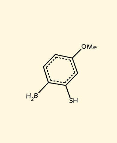 Bc1ccc(OC)cc1S